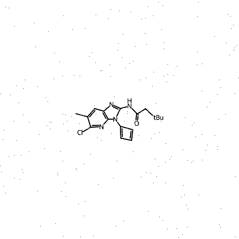 Cc1cc2nc(NC(=O)CC(C)(C)C)n(C3=CC=C3)c2nc1Cl